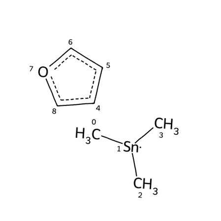 [CH3][Sn]([CH3])[CH3].c1ccoc1